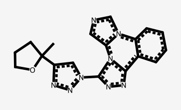 CC1(c2cn(-c3nnc4c5ccccc5n5cncc5n34)nn2)CCCO1